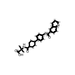 CC(C)(NC(=O)C1CCC(c2ccc(NC(=O)c3ccc4ncccc4c3)cc2)CC1)C(=O)O